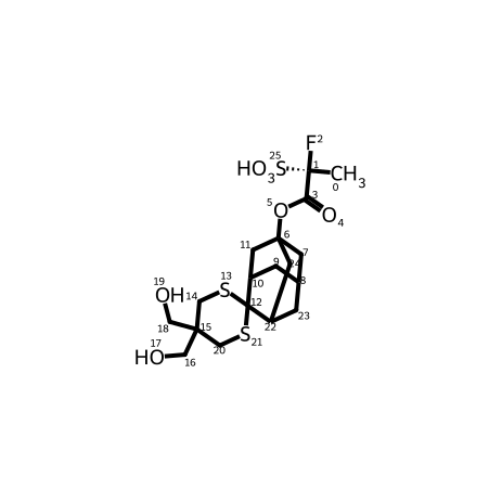 C[C@](F)(C(=O)OC12CC3CC(C1)C1(SCC(CO)(CO)CS1)C(C3)C2)S(=O)(=O)O